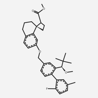 COC(=O)C1CC[C@@]12CCCc1ccc(OCc3ccc(-c4cc(C)ccc4F)c([C@H](OC)C(C)(C)C)c3)cc12